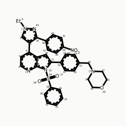 CCn1cc(-c2ccnc3c2cc(-c2ccc(CN4CCOCC4)cc2)n3S(=O)(=O)c2ccccc2)c(-c2ccc([N+](=O)[O-])cc2)n1